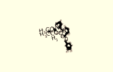 CC(C)(C)OC(=O)N1CCC[C@H]1C(=O)N1CCCC1C(=O)OCc1ccccc1